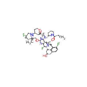 C#Cc1c(F)ccc2c1[C@@H](c1ncc3c(N(C)C[C@@H]4CCCN4C(=O)C=C)nc(OC[C@]4(C)C[C@@H](F)CN4C4CCOCC4)nc3c1F)C[C@H](O)C2